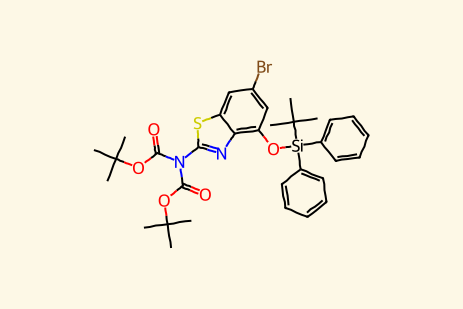 CC(C)(C)OC(=O)N(C(=O)OC(C)(C)C)c1nc2c(O[Si](c3ccccc3)(c3ccccc3)C(C)(C)C)cc(Br)cc2s1